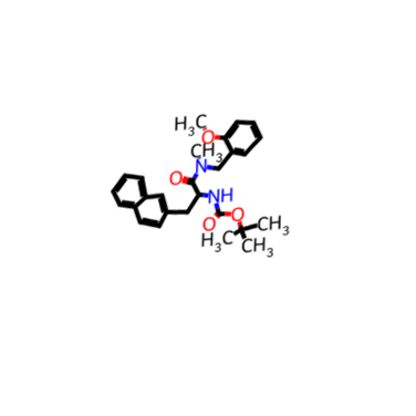 COc1ccccc1CN(C)C(=O)C(Cc1ccc2ccccc2c1)NC(=O)OC(C)(C)C